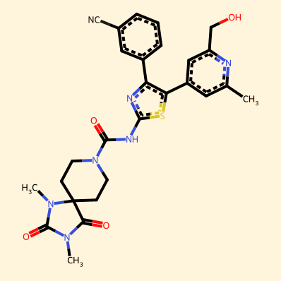 Cc1cc(-c2sc(NC(=O)N3CCC4(CC3)C(=O)N(C)C(=O)N4C)nc2-c2cccc(C#N)c2)cc(CO)n1